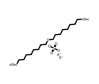 CCCCCCCCCCCCCCCCCCOCCCCCCCCCCCCCCCCCC.O=S(=O)([O-])[O-].[K+].[K+]